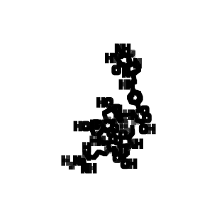 CNC(=O)[C@H](CC(=O)O)NC(=O)[C@H](CC(=O)O)NC(=O)[C@H](CCCNC(=N)N)NC(=O)[C@H](CC(=O)O)NC(=O)CC[C@H](NC(=O)c1ccc(NCc2cnc3cc(N)[nH]c(=O)c3n2)cc1)C(=O)O